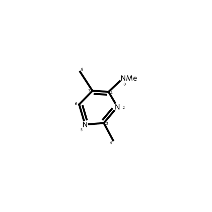 CNc1nc(C)ncc1C